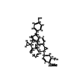 COc1ccc(C(Oc2ccc3c(cnn3-c3ccc(F)cc3)c2)[C@H](C)NC(=O)C2(C)CC2)cc1F